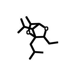 CCC1OC2C(C)OC1(CC(C)C)C2C(C)C